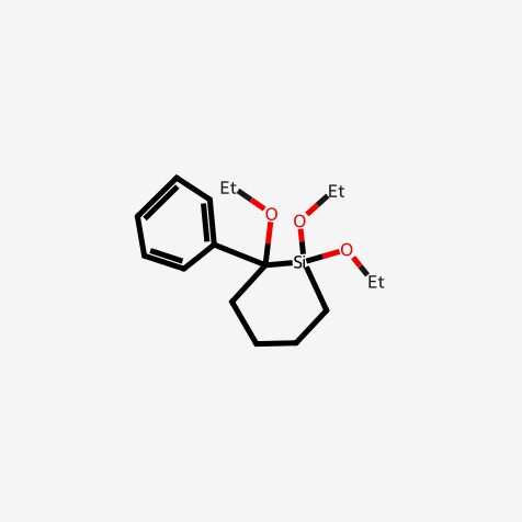 CCOC1(c2ccccc2)CCCC[Si]1(OCC)OCC